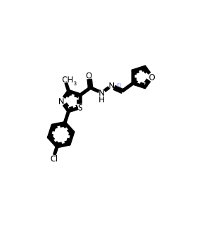 Cc1nc(-c2ccc(Cl)cc2)sc1C(=O)N/N=C/c1ccoc1